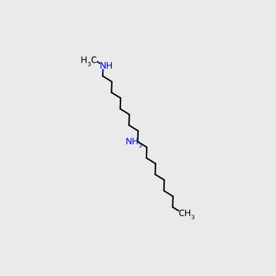 CCCCCCCCCCCCCCCCCCNC.N